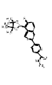 CNC(=O)c1ccc(-c2cc3ccc(F)c(B4OC(C)(C)C(C)(C)O4)c3cn2)cn1